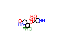 Cl.O=C1CCc2c(OC[C@]3(O)CCNC[C@H]3O)ccc(F)c2N1